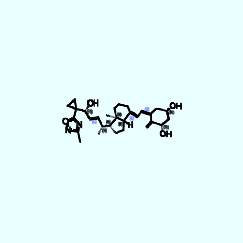 C=C1/C(=C\C=C2/CCC[C@]3(C)[C@@H]([C@H](C)/C=C/[C@@H](O)C4(c5nc(C)no5)CC4)CC[C@@H]23)C[C@@H](O)C[C@@H]1O